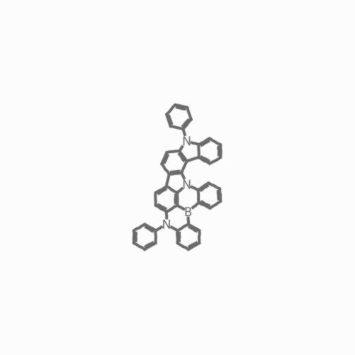 c1ccc(N2c3ccccc3B3c4ccccc4-n4c5c3c2ccc5c2ccc3c(c5ccccc5n3-c3ccccc3)c24)cc1